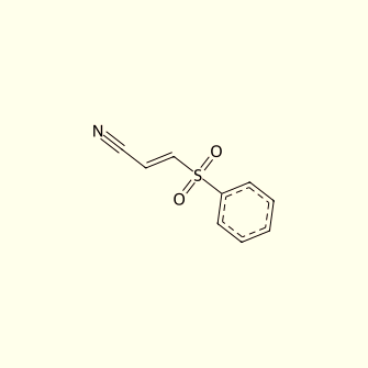 N#CC=CS(=O)(=O)c1ccccc1